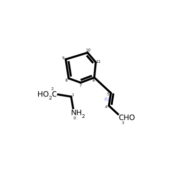 NCC(=O)O.O=C/C=C/c1ccccc1